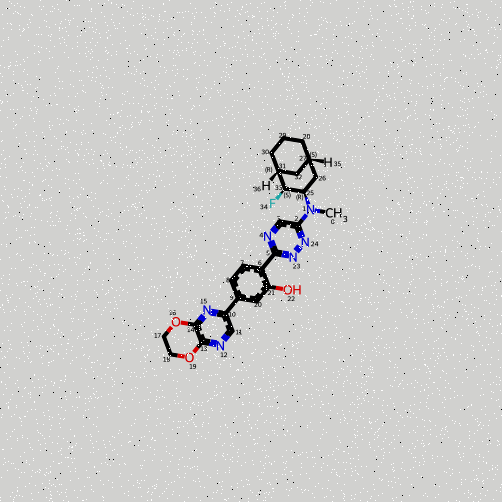 CN(c1cnc(-c2ccc(-c3cnc4c(n3)OCCO4)cc2O)nn1)[C@@H]1C[C@H]2CCC[C@H](C2)[C@@H]1F